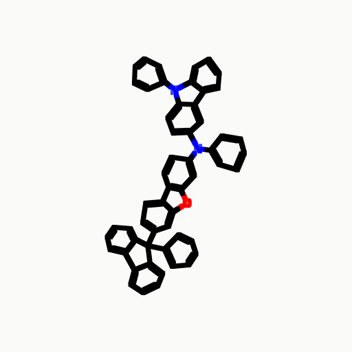 c1ccc(N(c2ccc3c(c2)oc2cc(C4(c5ccccc5)c5ccccc5-c5ccccc54)ccc23)c2ccc3c(c2)c2ccccc2n3-c2ccccc2)cc1